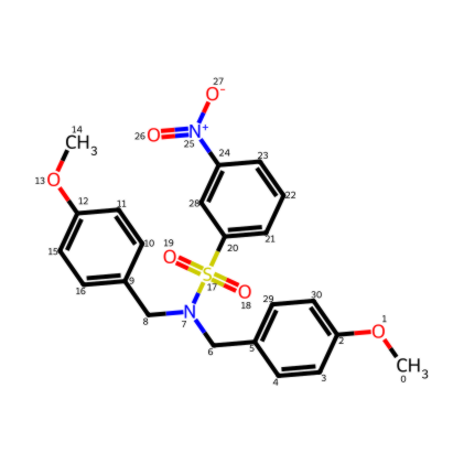 COc1ccc(CN(Cc2ccc(OC)cc2)S(=O)(=O)c2cccc([N+](=O)[O-])c2)cc1